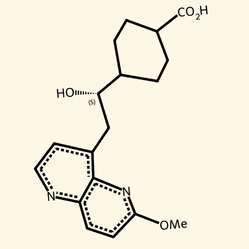 COc1ccc2nccc(C[C@H](O)C3CCC(C(=O)O)CC3)c2n1